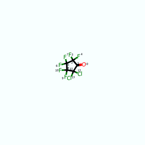 O=C1C(F)(F)C(F)(F)C(F)(F)C1(Cl)Cl